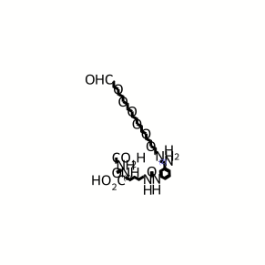 N/C(=C\NCCOCCOCCOCCOCCOCCOCCC=O)c1cccc(NC(=O)NCCCC[C@H](NC(=O)NCC(=O)O)C(=O)O)c1